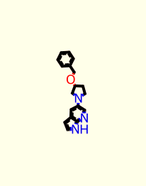 c1ccc(COC2CCN(c3cnc4[nH]ccc4c3)C2)cc1